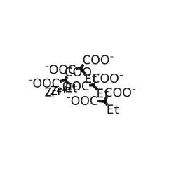 CCC(C(=O)[O-])C(=O)[O-].CCC(C(=O)[O-])C(=O)[O-].CCC(C(=O)[O-])C(=O)[O-].CCC(C(=O)[O-])C(=O)[O-].[Zr+4].[Zr+4]